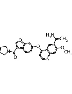 C=C(N)c1cc2c(Oc3ccc4c(C(=O)N5CCCC5)coc4c3)ccnc2cc1OC